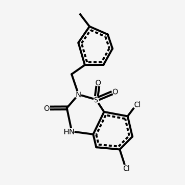 Cc1cccc(CN2C(=O)Nc3cc(Cl)cc(Cl)c3S2(=O)=O)c1